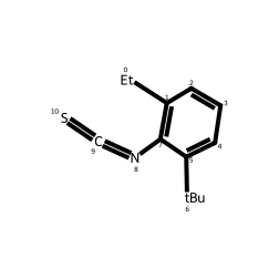 CCc1cccc(C(C)(C)C)c1N=C=S